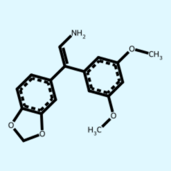 COc1cc(OC)cc(C(=CN)c2ccc3c(c2)OCO3)c1